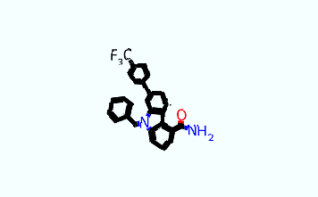 NC(=O)c1cccc2c1c1[c]cc(-c3ccc(C(F)(F)F)cc3)cc1n2Cc1ccccc1